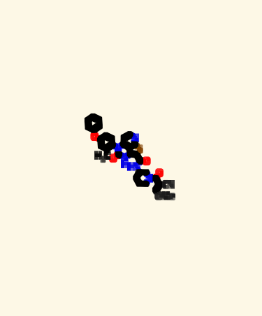 COC=C(C#N)C(=O)N1CCC[C@@H](NC(=O)c2sc3nccc4c3c2NC(=O)N4c2ccc(Oc3ccccc3)cc2C)C1